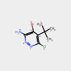 CC(C)(C)c1c(Cl)nnc(N)c1Br